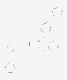 O=C(NCc1cn(Cc2ccccc2)nn1)NC(Cc1ccccc1)C(=O)Nc1ccc(Oc2ccccc2)cc1